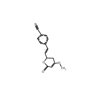 COC1=CC(=O)OC(/C=C/c2ccc(C#N)cc2)C1